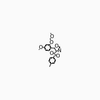 COCOc1cc(OC)ccc1C1OC=NC1S(=O)(=O)c1ccc(C)cc1